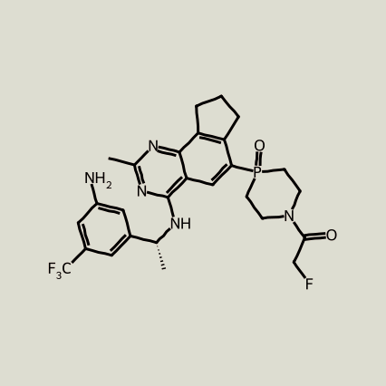 Cc1nc(N[C@H](C)c2cc(N)cc(C(F)(F)F)c2)c2cc(P3(=O)CCN(C(=O)CF)CC3)c3c(c2n1)CCC3